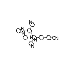 N#Cc1ccc(-c2ccc(-c3cc(-c4cc(-c5cccnc5)cc(-c5nc6ccccc6n5-c5ccccc5)c4)nc(-c4cccnc4)n3)cc2)cc1